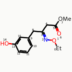 CCON=C(CC(=O)OC)Cc1cccc(O)c1